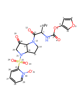 CCCC(NC(=O)Oc1ccoc1)C(=O)N1CCC2C1C(=O)CN2S(=O)(=O)c1cccc[n+]1[O-]